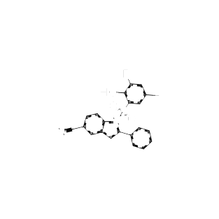 N#Cc1ccc2c(c1)cc(-c1ccccc1)n2S(=O)(=O)c1cc(F)cc(F)c1O